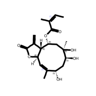 C=C1C(=O)O[C@@H]2/C=C(/C)[C@@H](O)C[C@H](O)[C@](C)(O)C[C@@H](OC(=O)/C(C)=C\C)[C@@H]12